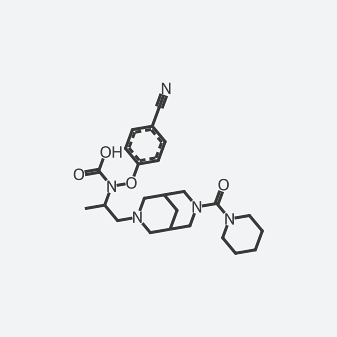 CC(CN1CC2CC(C1)CN(C(=O)N1CCCCC1)C2)N(Oc1ccc(C#N)cc1)C(=O)O